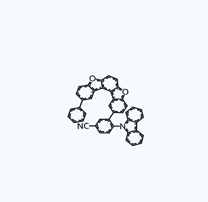 N#Cc1ccc(-n2c3ccccc3c3ccccc32)c(-c2ccc3oc4ccc5oc6ccc(-c7ccccc7)cc6c5c4c3c2)c1